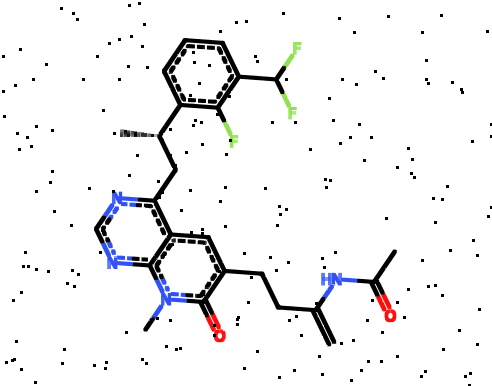 C=C(CCc1cc2c(C[C@H](C)c3cccc(C(F)F)c3F)ncnc2n(C)c1=O)NC(C)=O